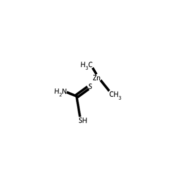 NC(=S)S.[CH3][Zn][CH3]